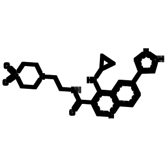 O=C(NCCN1CCS(=O)(=O)CC1)c1cnc2ccc(-c3cn[nH]c3)cc2c1NC1CC1